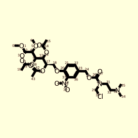 COC(=O)C(OC)C(OC(C)=O)C(OC(C)=O)[C@@H](COc1ccc(COC(=O)N(CCl)CCN(C)C)cc1[N+](=O)[O-])OC(C)=O